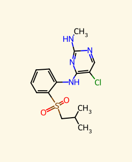 CNc1ncc(Cl)c(Nc2ccccc2S(=O)(=O)CC(C)C)n1